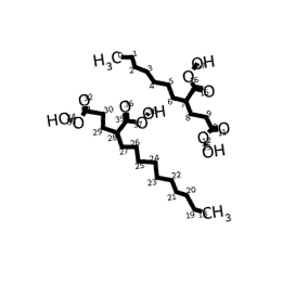 CCCCCCCC(CCC(=O)OO)C(=O)OO.CCCCCCCCCCC(CCC(=O)OO)C(=O)OO